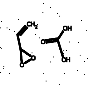 C=CC1OO1.O=C(O)O